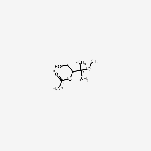 COC(C)(C)C(CO)OC(N)=O